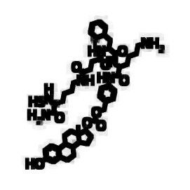 CC12CCC3c4ccc(O)cc4CCC3C1CCC2OC(=O)OCc1ccc(NC(=O)C(CCCCN)NC(=O)C(CC2C=CC=C[C@H]2I)NC(=O)CCC(=O)NCCCC[C@H](NS)C(N)=O)cc1